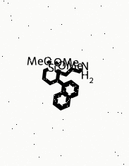 COC1(CCCN)C(c2cccc3ccccc23)CCC[Si]1(OC)OC